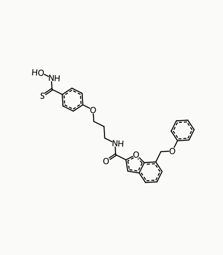 O=C(NCCCOc1ccc(C(=S)NO)cc1)c1cc2cccc(COc3ccccc3)c2o1